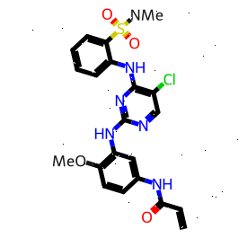 C=CC(=O)Nc1ccc(OC)c(Nc2ncc(Cl)c(Nc3ccccc3S(=O)(=O)NC)n2)c1